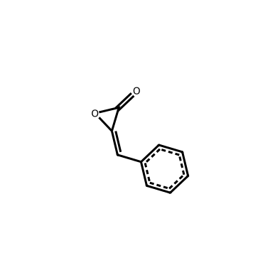 O=C1OC1=Cc1ccccc1